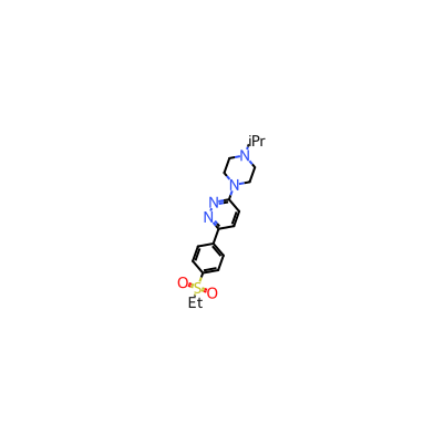 CCS(=O)(=O)c1ccc(-c2ccc(N3CCN(C(C)C)CC3)nn2)cc1